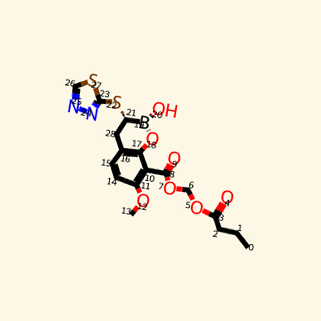 CCCC(=O)OCOC(=O)c1c(OC)ccc2c1OB(O)[C@@H](Sc1nncs1)C2